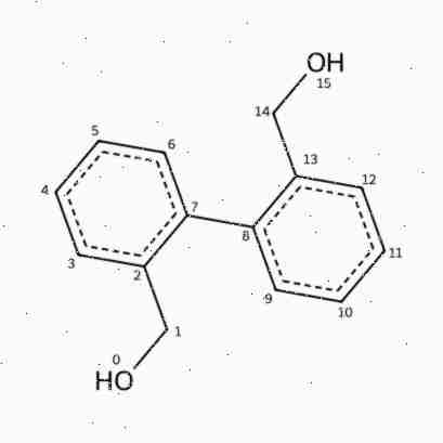 OCc1ccccc1-c1ccccc1CO